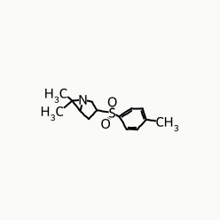 Cc1ccc(S(=O)(=O)C2CC3N(C2)C3(C)C)cc1